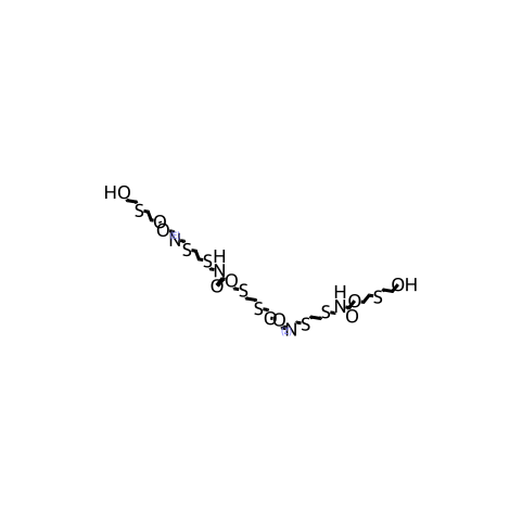 O=C(NCSCCSC/N=C\OOCSCCSCOC(=O)NCSCCSC/N=C/OOCCSCCO)OCCSCCO